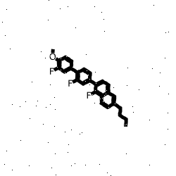 CCCCc1ccc2c(F)c(-c3ccc(-c4ccc(OC)c(F)c4)c(F)c3)ccc2c1